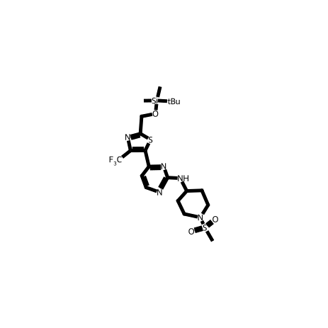 CC(C)(C)[Si](C)(C)OCc1nc(C(F)(F)F)c(-c2ccnc(NC3CCN(S(C)(=O)=O)CC3)n2)s1